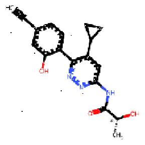 C#Cc1ccc(-c2nnc(NC(=O)[C@@H](C)O)cc2C2CC2)c(O)c1